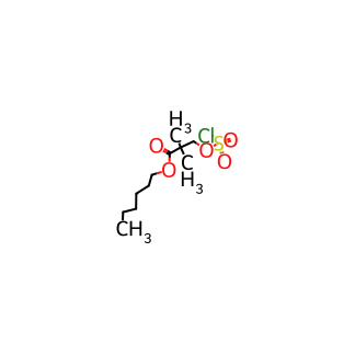 CCCCCCOC(=O)C(C)(C)COS(=O)(=O)Cl